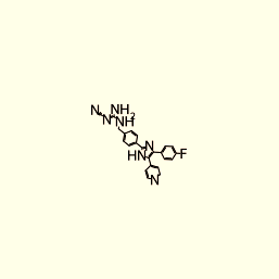 N#CN=C(N)NCc1ccc(-c2nc(-c3ccc(F)cc3)c(-c3ccncc3)[nH]2)cc1